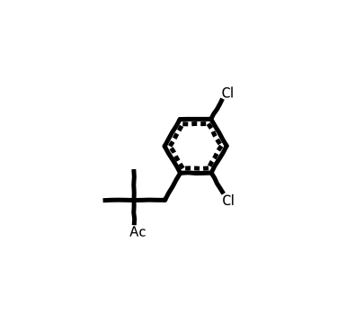 CC(=O)C(C)(C)Cc1ccc(Cl)cc1Cl